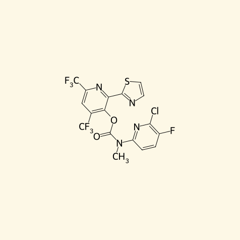 CN(C(=O)Oc1c(C(F)(F)F)cc(C(F)(F)F)nc1-c1nccs1)c1ccc(F)c(Cl)n1